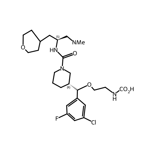 CNC[C@H](CC1CCOCC1)NC(=O)N1CCC[C@@H](C(OCCNC(=O)O)c2cc(F)cc(Cl)c2)C1